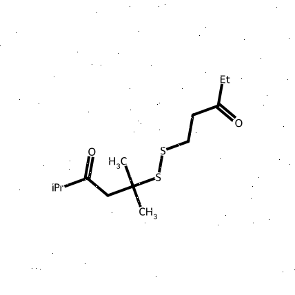 CCC(=O)CCSSC(C)(C)CC(=O)C(C)C